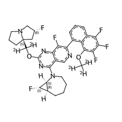 [2H]C([2H])([2H])Oc1c(F)c(F)c(F)c2cccc(-c3ncc4c(N5CCCC[C@H]6[C@H](F)[C@H]65)nc(OC([2H])([2H])[C@@]56CCCN5C[C@H](F)C6)nc4c3F)c12